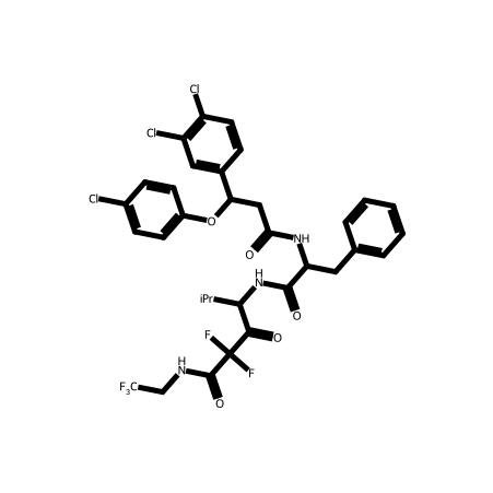 CC(C)C(NC(=O)C(Cc1ccccc1)NC(=O)CC(Oc1ccc(Cl)cc1)c1ccc(Cl)c(Cl)c1)C(=O)C(F)(F)C(=O)NCC(F)(F)F